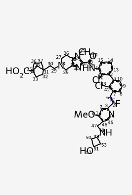 COc1cc(/C(F)=C/c2cccc(-c3cccc(NC(=O)c4nc5c(n4C)CCN(CCC46CCC(C(=O)O)(CC4)C6)C5)c3Cl)c2Cl)ncc1CNC1CC(O)C1